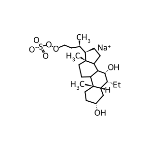 CC[C@H]1[C@@H](O)C2C3CC[C@H]([C@H](C)CCOOS(=O)(=O)[O-])[C@@]3(C)CCC2[C@@]2(C)CC[C@@H](O)C[C@@H]12.[Na+]